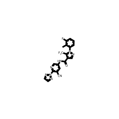 Cc1c(F)cccc1-n1ncc(C(=O)Nc2cnc(-n3nccn3)c(C#N)c2)c1C(F)(F)F